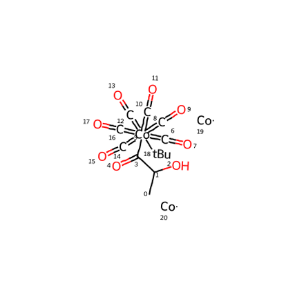 CC(O)[C](=O)[Co](=[C]=O)(=[C]=O)(=[C]=O)(=[C]=O)(=[C]=O)(=[C]=O)[C](C)(C)C.[Co].[Co]